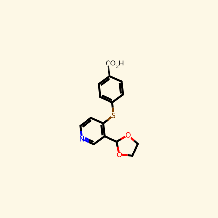 O=C(O)c1ccc(Sc2ccncc2C2OCCO2)cc1